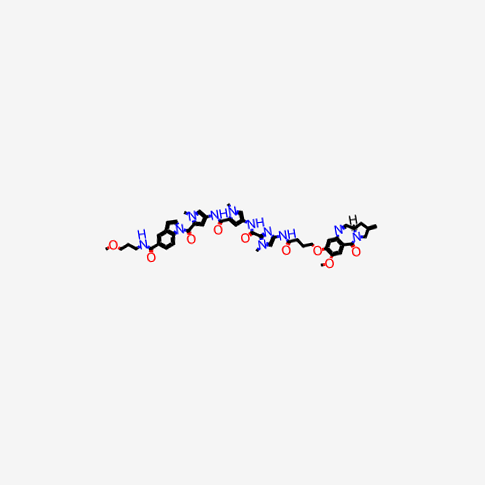 C=C1C[C@H]2C=Nc3cc(OCCCC(=O)Nc4cn(C)c(C(=O)Nc5cc(C(=O)Nc6cc(C(=O)n7ccc8cc(C(=O)NCCCOC)ccc87)n(C)c6)n(C)c5)n4)c(OC)cc3C(=O)N2C1